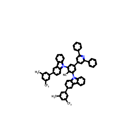 Cc1cc(-c2ccc3c(c2)c2ccccc2n3-c2cc(-c3cc(-c4ccccc4)nc(-c4ccccc4)c3)cc(-n3c4ccccc4c4cc(-c5cc(C)cc(C(F)(F)F)c5)ccc43)c2C#N)cc(C(F)(F)F)c1